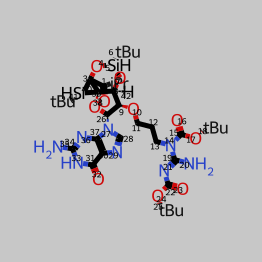 CC(C)C(=O)C12O[SiH](C(C)(C)C)O[C@H]3[C@@H](OCCCN(C(=O)OC(C)(C)C)C(N)=NC(=O)OC(C)(C)C)[C@H](n4cnc5c(=O)[nH]c(N)nc54)O[C@@]31[SiH]2C(C)(C)C